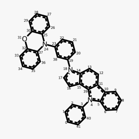 c1ccc(-n2c3ccccc3c3ccc4c(ccn4-c4cccc(N5c6ccccc6Oc6ccccc65)c4)c32)cc1